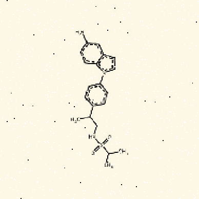 CC(CNS(=O)(=O)C(C)C)c1ccc(-n2ccc3cc(N)ccc32)cc1